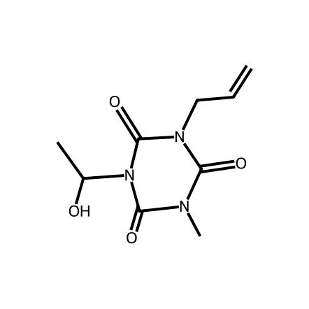 C=CCn1c(=O)n(C)c(=O)n(C(C)O)c1=O